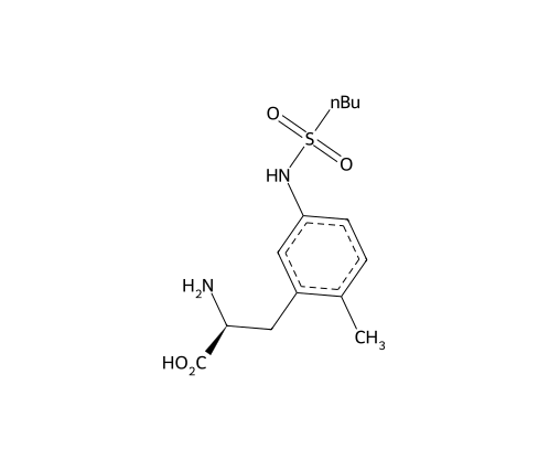 CCCCS(=O)(=O)Nc1ccc(C)c(C[C@H](N)C(=O)O)c1